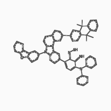 CC1(C)c2ccccc2C(C)(C)c2cc(-c3ccc4ccc5c(c4c3)c3cc(C4=CC=C(N(c6ccccc6)c6ccccc6)C(=N)/C4=N\S)ccc3n5-c3ccc4oc5ccccc5c4c3)ccc21